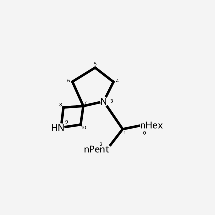 CCCCCCC(CCCCC)N1CCCC12CNC2